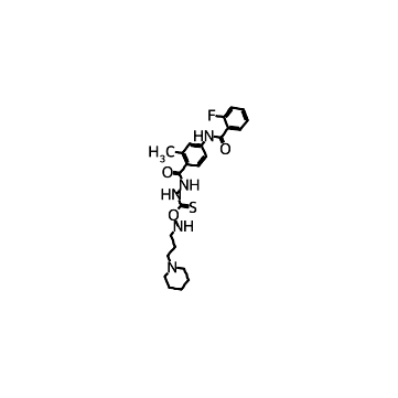 Cc1cc(NC(=O)c2ccccc2F)ccc1C(=O)NNC(=S)ONCCCN1CCCCC1